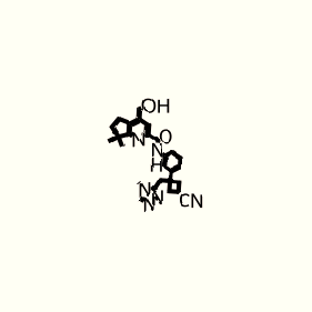 Cn1cnnc1CC1(c2cccc(NC(=O)c3cc(CO)c4c(n3)C(C)(C)CC4)c2)CC(C#N)C1